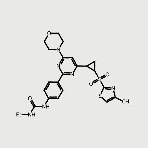 CCNC(=O)Nc1ccc(-c2nc(C3CC3S(=O)(=O)c3nc(C)cs3)cc(N3CCOCC3)n2)cc1